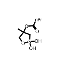 CCCC(=O)OC1(C)COS(O)(O)C1